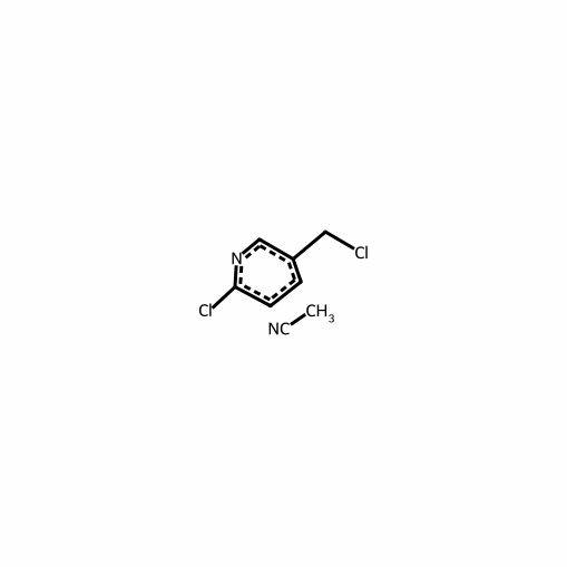 CC#N.ClCc1ccc(Cl)nc1